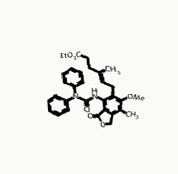 CCOC(=O)CC/C(C)=C/Cc1c(NC(=O)N(c2ccccc2)c2ccccc2)c2c(c(C)c1OC)COC2=O